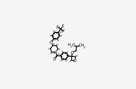 CC(C)COC1(c2ccc(C(=O)N3CCC(Oc4ccc(C(F)(F)F)cc4)CC3)cc2)COC1